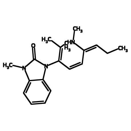 CC/C=C(\C=C/C(=C(C)C)n1c(=O)n(C)c2ccccc21)NC